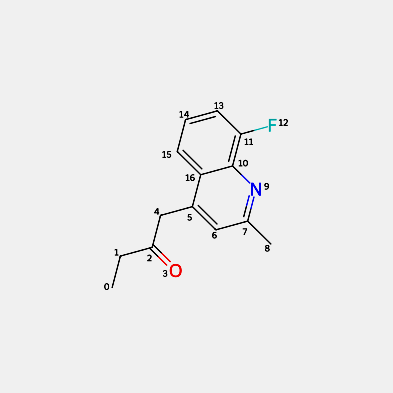 CCC(=O)Cc1cc(C)nc2c(F)cccc12